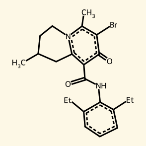 CCc1cccc(CC)c1NC(=O)c1c2n(c(C)c(Br)c1=O)CCC(C)C2